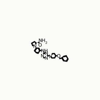 NC(=O)[C@H]1CCCN1c1cccc(Nc2ncnc(N3CCC(OCc4ccccc4)CC3)n2)c1